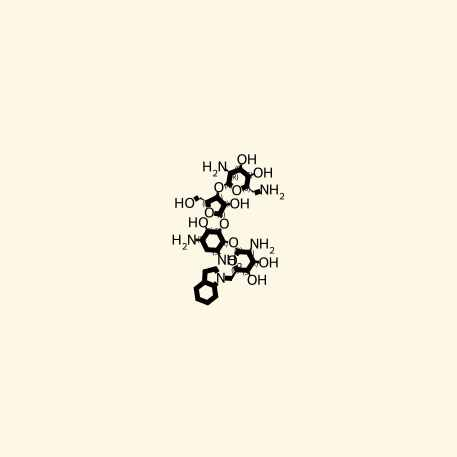 NC[C@@H]1O[C@H](O[C@H]2[C@@H](O)[C@H](O[C@@H]3[C@@H](O)[C@H](N)C[C@H](N)[C@H]3O[C@H]3O[C@H](CN4CCC5CCCCC54)[C@@H](O)[C@H](O)[C@H]3N)O[C@@H]2CO)[C@H](N)[C@@H](O)[C@@H]1O